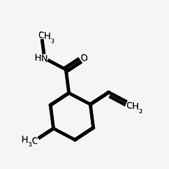 C=CC1CCC(C)CC1C(=O)NC